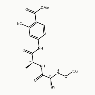 COC(=O)c1ccc(NC(=O)[C@H](C)NC(=O)[C@@H](NOC(C)(C)C)C(C)C)cc1C#N